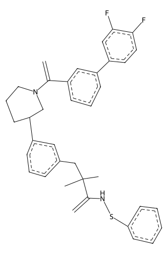 C=C(c1cccc(-c2ccc(F)c(F)c2)c1)N1CCCC(c2cccc(CC(C)(C)C(=C)NSc3ccccc3)c2)C1